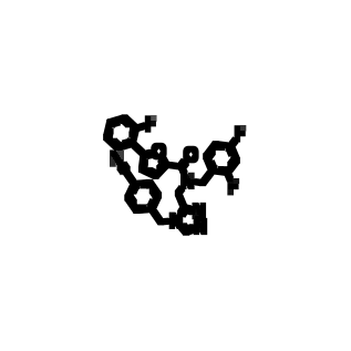 N#Cc1ccc(Cn2cnnc2CN(Cc2ccc(F)cc2F)C(=O)c2ccc(-c3ccccc3F)o2)cc1